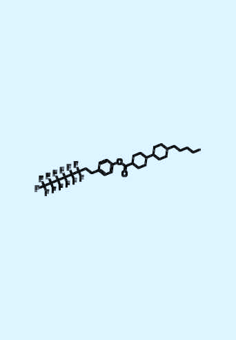 CCCCCC1CCC(C2CCC(C(=O)Oc3ccc(CCC(F)(F)C(F)(F)C(F)(F)C(F)(F)C(F)(F)C(F)(F)F)cc3)CC2)CC1